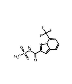 CS(=O)(=O)NC(=O)c1cc2cccc(C(F)(F)F)n2n1